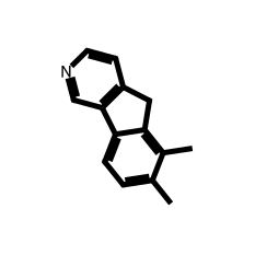 Cc1ccc2c(c1C)Cc1ccncc1-2